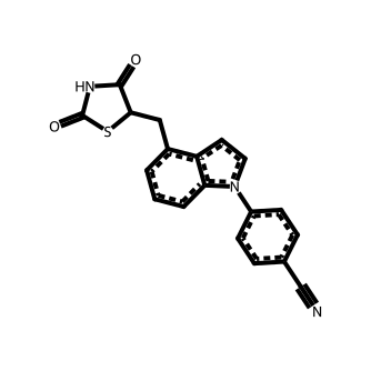 N#Cc1ccc(-n2ccc3c(CC4SC(=O)NC4=O)cccc32)cc1